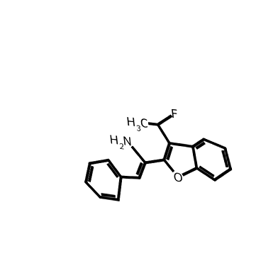 CC(F)c1c(C(N)=Cc2ccccc2)oc2ccccc12